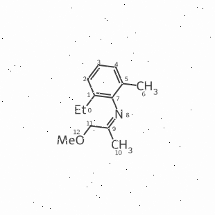 CCc1cccc(C)c1N=C(C)COC